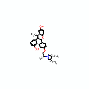 CC1=C(c2cccc(O)c2)C(c2ccc(OCC(C)N3C[C@H](C)[C@@H](C)C3)cc2)Oc2ccc(O)cc21